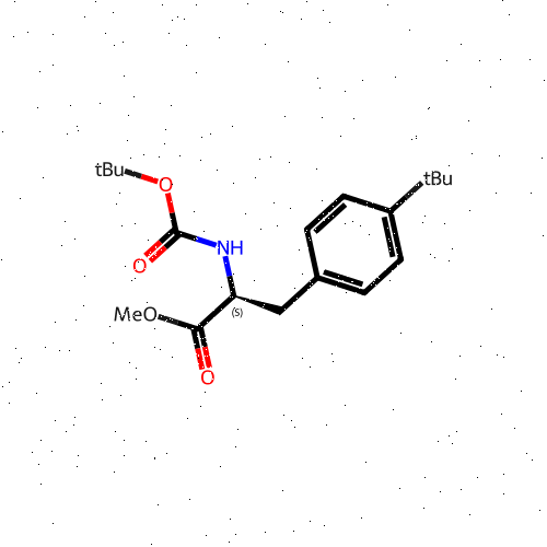 COC(=O)[C@H](Cc1ccc(C(C)(C)C)cc1)NC(=O)OC(C)(C)C